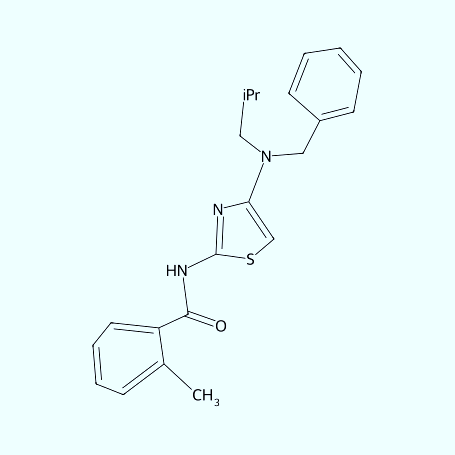 Cc1ccccc1C(=O)Nc1nc(N(Cc2ccccc2)CC(C)C)cs1